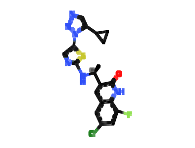 C[C@H](Nc1ncc(-n2nncc2C2CC2)s1)c1cc2cc(Cl)cc(F)c2[nH]c1=O